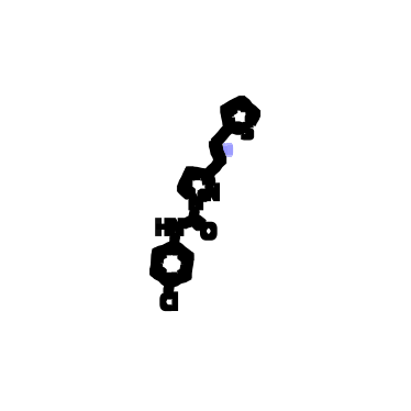 O=C(Nc1ccc(Cl)cc1)n1ccc(/C=C/c2cccs2)n1